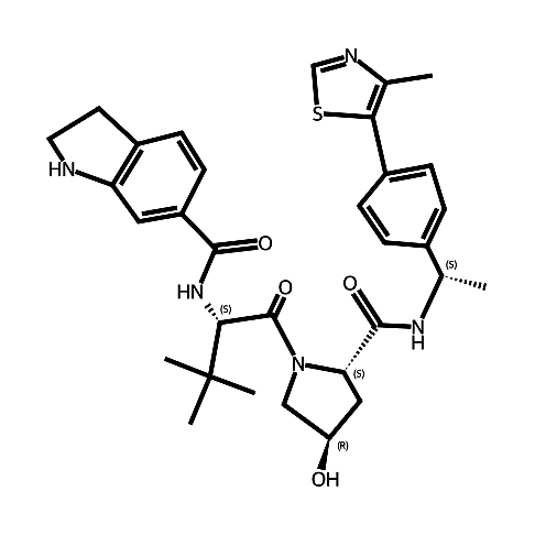 Cc1ncsc1-c1ccc([C@H](C)NC(=O)[C@@H]2C[C@@H](O)CN2C(=O)[C@@H](NC(=O)c2ccc3c(c2)NCC3)C(C)(C)C)cc1